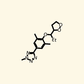 CCC(Oc1c(C)cc(-c2nnn(C)n2)cc1C)C1CCOO1